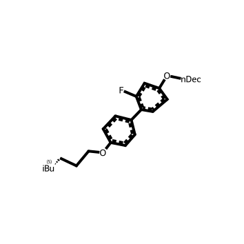 CCCCCCCCCCOc1ccc(-c2ccc(OCCC[C@@H](C)CC)cc2)c(F)c1